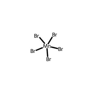 [Br][Mn]([Br])([Br])([Br])[Br]